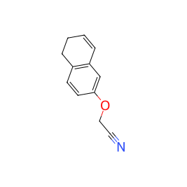 N#CCOc1ccc2c(c1)C=CCC2